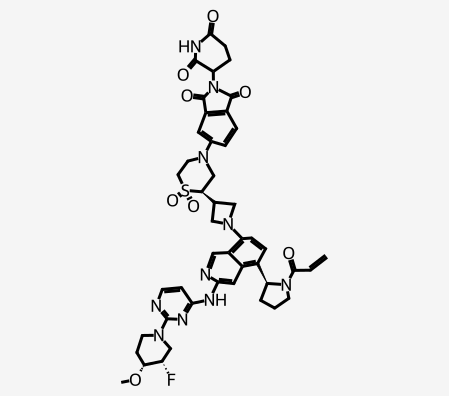 C=CC(=O)N1CCC[C@H]1c1ccc(N2CC([C@@H]3CN(c4ccc5c(c4)C(=O)N(C4CCC(=O)NC4=O)C5=O)CCS3(=O)=O)C2)c2cnc(Nc3ccnc(N4CC[C@@H](OC)[C@@H](F)C4)n3)cc12